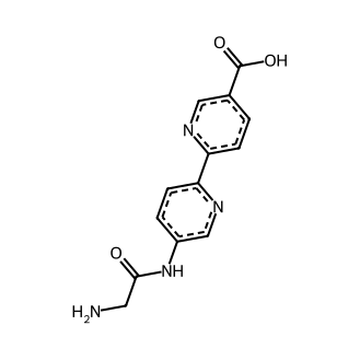 NCC(=O)Nc1ccc(-c2ccc(C(=O)O)cn2)nc1